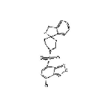 O=S(=O)(c1ccc(Cl)c2nonc12)N1CCC2(CC1)OCc1ccccc12